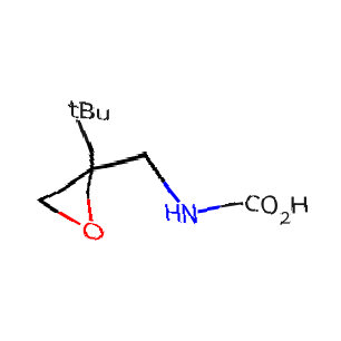 CC(C)(C)C1(CNC(=O)O)CO1